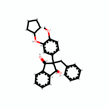 COc1ccc(C2(Cc3ccccc3)C(=O)c3ccccc3C2=O)cc1OC1CCCC1